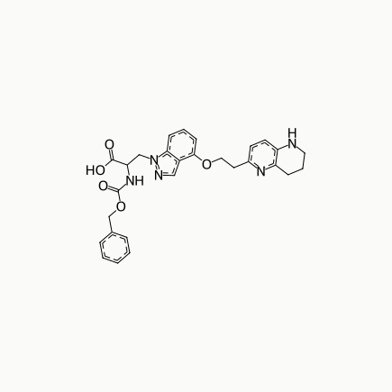 O=C(NC(Cn1ncc2c(OCCc3ccc4c(n3)CCCN4)cccc21)C(=O)O)OCc1ccccc1